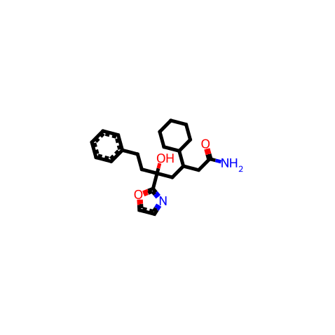 NC(=O)CC(CC(O)(CCc1ccccc1)c1ncco1)C1CCCCC1